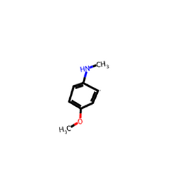 CNc1[c]cc(OC)cc1